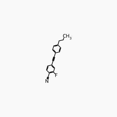 CCCc1ccc(C#Cc2ccc(C#N)c(F)c2)cc1